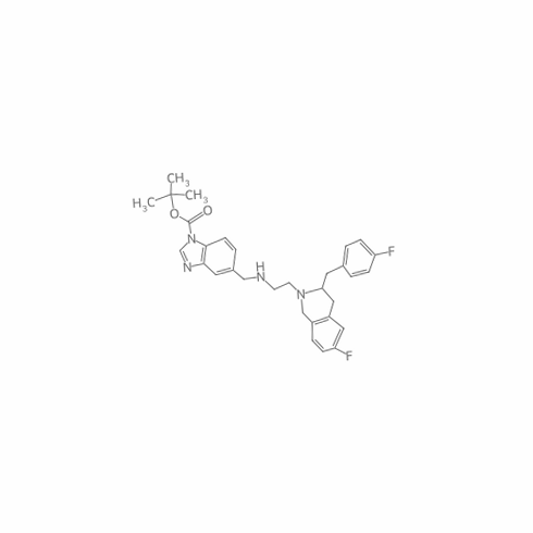 CC(C)(C)OC(=O)n1cnc2cc(CNCCN3Cc4ccc(F)cc4CC3Cc3ccc(F)cc3)ccc21